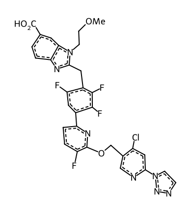 COCCn1c(Cc2c(F)cc(-c3ccc(F)c(OCc4cnc(-n5ccnn5)cc4Cl)n3)c(F)c2F)nc2ccc(C(=O)O)cc21